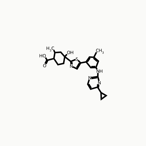 Cc1cc(Nc2nccc(C3CC3)n2)cc(-c2cnc(C3(O)CCC(C(=O)O)C(C)C3)s2)c1